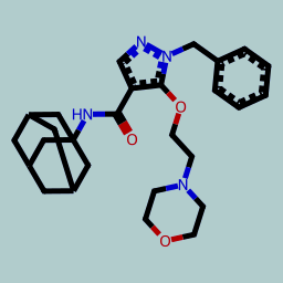 O=C(NC12CC3CC(CC(C3)C1)C2)c1cnn(Cc2ccccc2)c1OCCN1CCOCC1